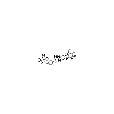 CC(Oc1ccc(CC2SC(=O)NC2=O)cc1)c1nc2ccc(Oc3c(F)c(F)c(F)c(F)c3F)cc2[nH]1